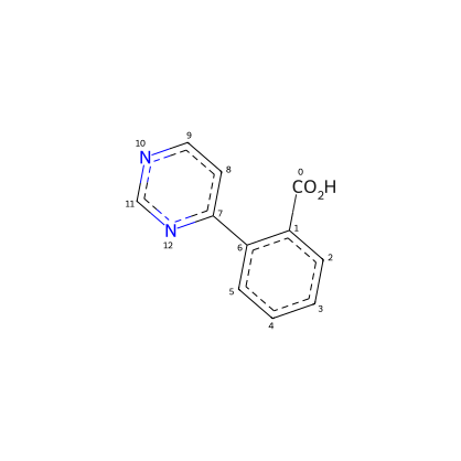 O=C(O)c1ccccc1-c1ccncn1